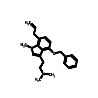 C=CCc1ccc(OCc2ccccc2)c2c(CCN(C)C)cn(C)c12